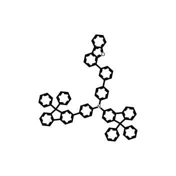 c1ccc(C2(c3ccccc3)c3ccccc3-c3cc(N(c4ccc(-c5cccc(-c6cccc7c6oc6ccccc67)c5)cc4)c4ccc(-c5ccc6c(c5)C(c5ccccc5)(c5ccccc5)c5ccccc5-6)cc4)ccc32)cc1